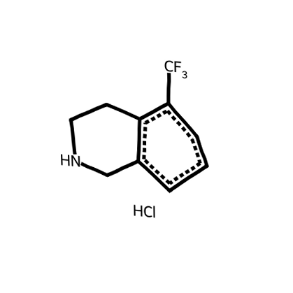 Cl.FC(F)(F)c1cccc2c1CCNC2